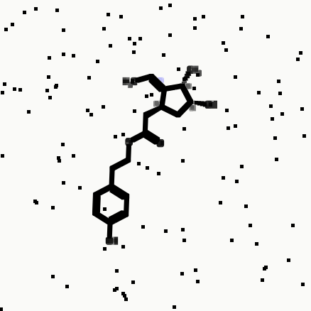 C/C=C1\[C@H](CC(=O)OCCc2ccc(O)cc2)C[C@@H](O)[C@H]1C